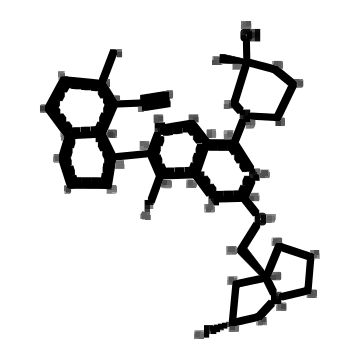 C#Cc1c(C)ccc2cccc(-c3ncc4c(N5CCC[C@@](C)(O)C5)nc(OC[C@@]56CCCN5C[C@H](F)C6)nc4c3F)c12